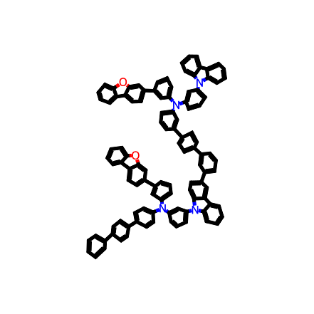 c1ccc(-c2ccc(-c3ccc(N(c4cccc(-c5ccc6c(c5)oc5ccccc56)c4)c4cccc(-n5c6ccccc6c6cc(-c7cccc(-c8ccc(-c9cccc(N(c%10cccc(-c%11ccc%12c(c%11)oc%11ccccc%11%12)c%10)c%10cccc(-n%11c%12ccccc%12c%12ccccc%12%11)c%10)c9)cc8)c7)ccc65)c4)cc3)cc2)cc1